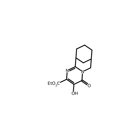 CCOC(=O)c1nc2n(c(=O)c1O)CC1CCCC2C1